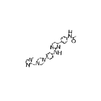 CC(=O)Nc1ccc(-c2ccnc(Nc3ccc(N4CCN(Cc5nccn5C)CC4)cc3)n2)cc1